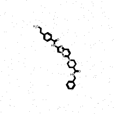 CCCc1ccc(C(=O)Nc2cn3nc(N4CCC(C(=O)NCc5ccccc5)CC4)ccc3n2)cc1